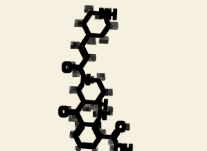 Nc1c(C(=O)O)cccc1C(=O)C1CCCN(C(=O)C=CC2CCNCC2)C1